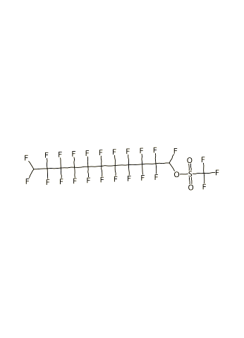 O=S(=O)(OC(F)C(F)(F)C(F)(F)C(F)(F)C(F)(F)C(F)(F)C(F)(F)C(F)(F)C(F)(F)C(F)(F)C(F)F)C(F)(F)F